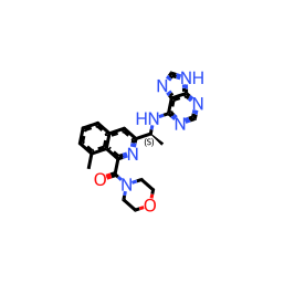 Cc1cccc2cc([C@H](C)Nc3ncnc4[nH]cnc34)nc(C(=O)N3CCOCC3)c12